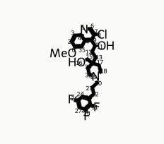 COc1ccc2ncc(Cl)c([C@@H](O)CCC3(CO)CCN(CCCc4cc(F)cc(F)c4F)CC3)c2c1